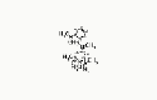 CN(C)c1ccccc1CN(C)C1CC(C)(C)N(C)C(C)(C)C1